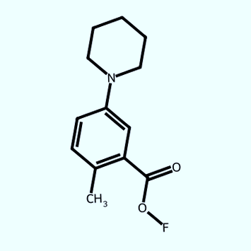 Cc1ccc(N2CCCCC2)cc1C(=O)OF